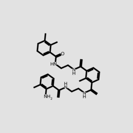 C=C(NCCNC(=C)c1cccc(C)c1N)c1cccc(C(=C)NCCNC(=O)C2=CCCC(C)=C2C)c1C